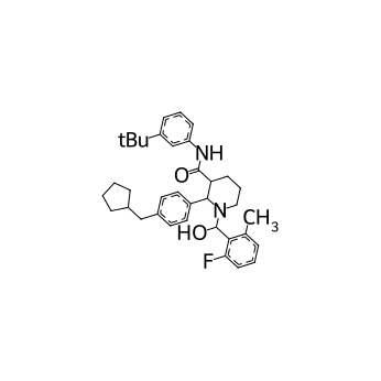 Cc1cccc(F)c1C(O)N1CCCC(C(=O)Nc2cccc(C(C)(C)C)c2)C1c1ccc(CC2CCCC2)cc1